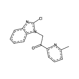 Cc1cccc(C(=O)Cn2c(Cl)nc3ccccc32)n1